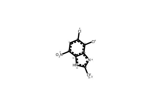 O=[N+]([O-])c1cc(Cl)c(Cl)c2nc(C(F)(F)F)[nH]c12